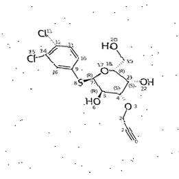 C#CCO[C@@H]1[C@@H](O)[C@@H](Sc2ccc(Cl)c(Cl)c2)O[C@H](CO)[C@@H]1O